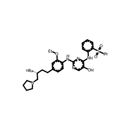 CCCC[C@H](CCc1ccc(Nc2ncc(O)c(Nc3ccccc3S(=O)(=O)C(C)C)n2)c(OCC)c1)CN1CCCC1